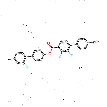 CCCc1ccc(-c2ccc(C(=O)Oc3ccc(-c4ccc(C)cc4F)cc3)c(F)c2F)cc1